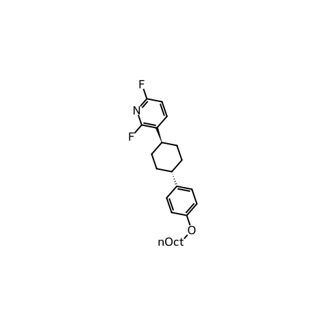 CCCCCCCCOc1ccc([C@H]2CC[C@H](c3ccc(F)nc3F)CC2)cc1